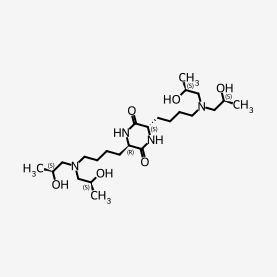 C[C@H](O)CN(CCCC[C@@H]1NC(=O)[C@@H](CCCCN(C[C@H](C)O)C[C@H](C)O)NC1=O)C[C@H](C)O